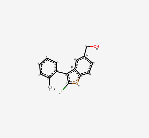 Cc1ccccc1-c1c(F)sc2ccc(CO)cc12